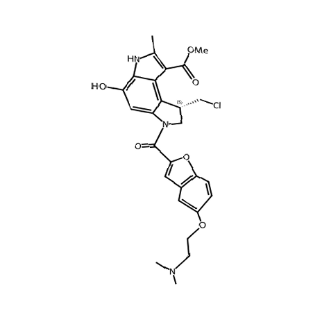 COC(=O)c1c(C)[nH]c2c(O)cc3c(c12)[C@H](CCl)CN3C(=O)c1cc2cc(OCCN(C)C)ccc2o1